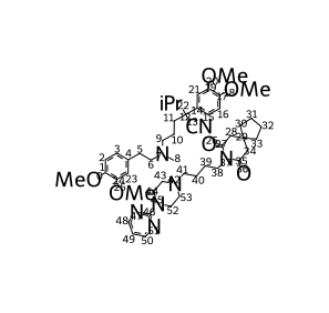 COc1ccc(CCN(C)CCCC(C#N)(c2ccc(OC)c(OC)c2)C(C)C)cc1OC.O=C1CC2(CCCC2)CC(=O)N1CCCCN1CCN(c2ncccn2)CC1